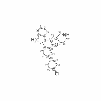 Cc1ccccc1-c1nc2ccc(-c3ccc(Cl)cc3)cc2c(=O)n1CC1CCCNC1